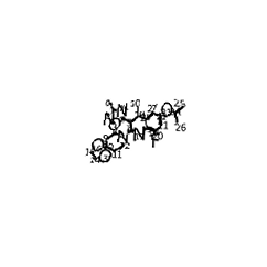 Cc1noc(-c2c(N3CCC4(CC3)OCCO4)nc3c(F)cc(OC(C)C)cc3c2C)n1